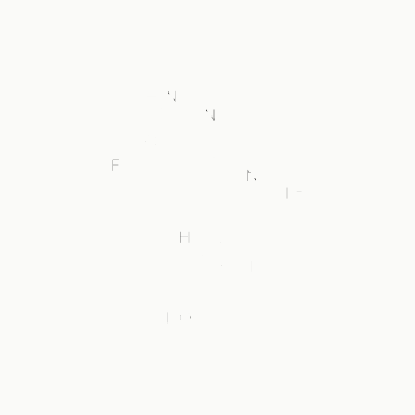 CCc1cc(C2[C@H]3CC(O)C[C@@H]23)cc(-c2cnc(N)c(OC(F)F)c2)n1